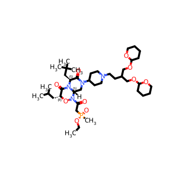 CCOP(C)(=O)CC(=O)N1O[C@H](CC(C)C)C(=O)N2[C@@H]1CN(C1CCN(CCC(COC3CCCCO3)COC3CCCCO3)CC1)C(=O)[C@@H]2CC(C)(C)C